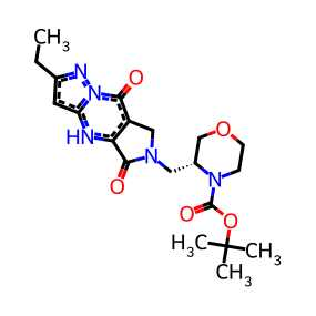 CCc1cc2[nH]c3c(c(=O)n2n1)CN(C[C@@H]1COCCN1C(=O)OC(C)(C)C)C3=O